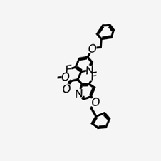 COC(=O)C(c1ncc(OCc2ccccc2)cc1F)c1ncc(OCc2ccccc2)cc1F